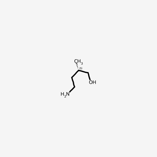 C[C@H](CO)CCN